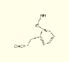 CCCOc1ccccc1CCC=O